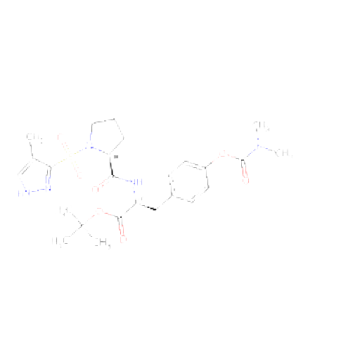 Cc1c[nH]nc1S(=O)(=O)N1CCC[C@H]1C(=O)N[C@@H](Cc1ccc(OC(=O)N(C)C)cc1)C(=O)OC(C)(C)C